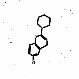 Clc1ccc2c(c1)CN=C(N1CCCCC1)O2